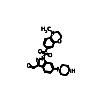 CN1CCOc2cc(S(=O)(=O)n3nc(C=O)c4ccc(N5CCNCC5)cc43)ccc21